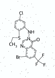 CCSc1ccc(Cl)cc1Nn1cnc2c(Br)cc(C(F)(F)F)cc2c1=O